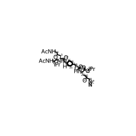 CC(=O)NCCC[C@H](NC(=O)[C@@H](NC(C)=O)C(C)C)C(=O)Nc1ccc(COC(=O)N[C@@H](CCC(=O)C=[N+]=[N-])C(=O)OC(C)C)cc1